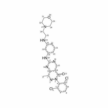 Cc1nn(-c2c(Cl)cccc2Cl)c(=O)c2cnc(Nc3cccc(NCCN4CCOCC4)c3)nc12